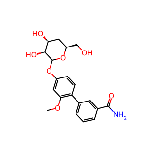 COc1cc(OC2O[C@H](CO)C[C@H](O)[C@@H]2O)ccc1-c1cccc(C(N)=O)c1